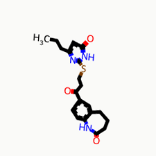 CCCc1cc(=O)[nH]c(SCCC(=O)c2ccc3c(c2)CCCC(=O)N3)n1